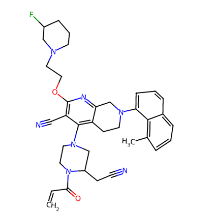 C=CC(=O)N1CCN(c2c(C#N)c(OCCN3CCCC(F)C3)nc3c2CCN(c2cccc4cccc(C)c24)C3)CC1CC#N